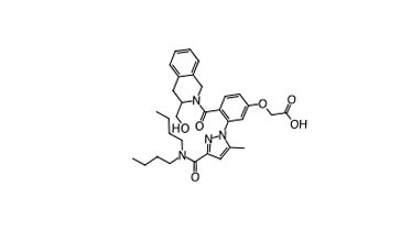 CCCCN(CCCC)C(=O)c1cc(C)n(-c2cc(OCC(=O)O)ccc2C(=O)N2Cc3ccccc3CC2CO)n1